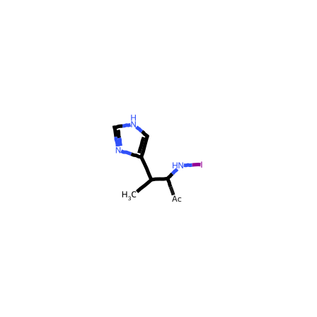 CC(=O)C(NI)C(C)c1c[nH]cn1